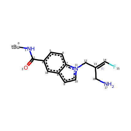 CC(C)(C)NC(=O)c1ccc2c(ccn2C/C(=C/F)CN)c1